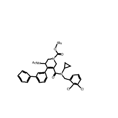 CC(=O)NC1CN(C(=O)OC(C)(C)C)CC(C(=O)N(Cc2cccc(Cl)c2Cl)C2CC2)=C1c1cccc(-c2ccccc2)c1